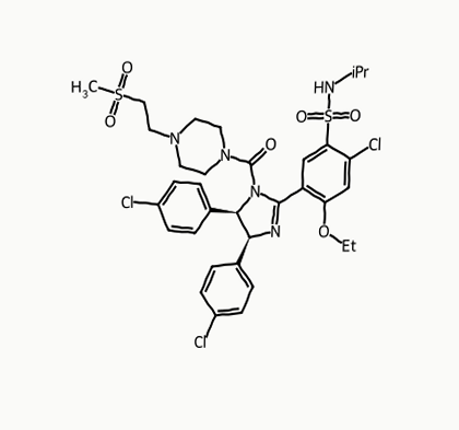 CCOc1cc(Cl)c(S(=O)(=O)NC(C)C)cc1C1=N[C@@H](c2ccc(Cl)cc2)[C@@H](c2ccc(Cl)cc2)N1C(=O)N1CCN(CCS(C)(=O)=O)CC1